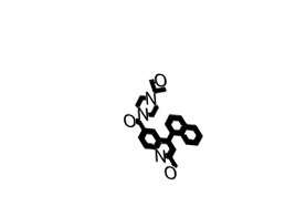 O=Cc1cc(-c2cccc3ccccc23)c2cc(C(=O)N3CCN(C4COC4)CC3)ccc2n1